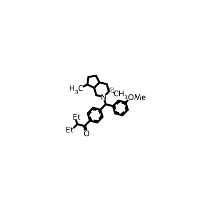 CCC(CC)C(=O)c1ccc(C(c2cccc(OC)c2)N2CC3C(C)CCC3C[C@@H]2C)cc1